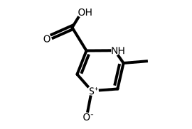 CC1=C[S+]([O-])C=C(C(=O)O)N1